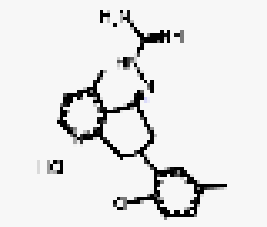 Cc1ccc(Cl)c(C2C/C(=N/NC(=N)N)c3c(C)ccnc3C2)c1.Cl